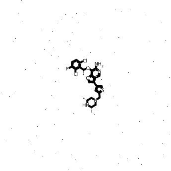 C[C@@H]1CN(Cc2cc(-c3coc4c(O[C@H](C)c5c(Cl)ccc(F)c5Cl)c(N)ncc34)cs2)C[C@H](C)N1